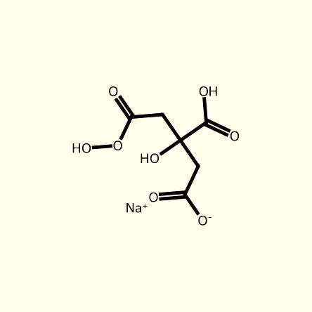 O=C([O-])CC(O)(CC(=O)OO)C(=O)O.[Na+]